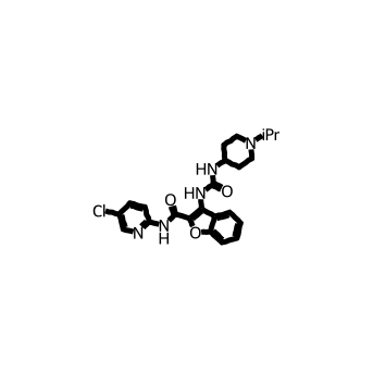 CC(C)N1CCC(NC(=O)Nc2c(C(=O)Nc3ccc(Cl)cn3)oc3ccccc23)CC1